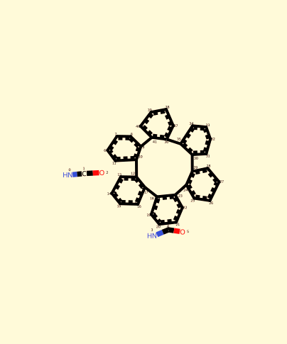 N=C=O.N=C=O.c1ccc2c(c1)-c1ccccc1-c1ccccc1-c1ccccc1-c1ccccc1-c1ccccc1-2